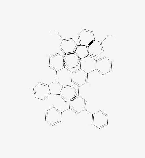 CC(C)(C)c1ccc2c(c1)c1cc(C(C)(C)C)ccc1n2-c1c(-c2ccccc2-n2c3ccccc3c3ccccc32)cc(-c2cc(-c3ccccc3)cc(-c3ccccc3)n2)cc1-c1ccccc1-n1c2ccccc2c2ccccc21